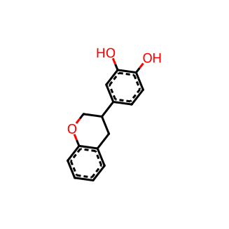 Oc1ccc(C2COc3ccccc3C2)cc1O